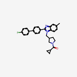 Cc1ccc2c(c1)nc(-c1ccc(-c3ccc(F)cc3)cc1)n2CC1CCN(C(=O)C2CC2)C1